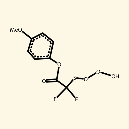 COc1ccc(OC(=O)C(F)(F)SOOO)cc1